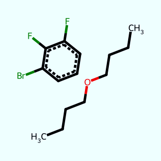 CCCCOCCCC.Fc1cccc(Br)c1F